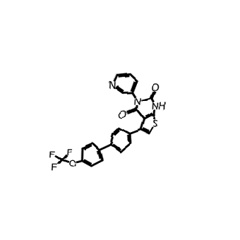 O=c1[nH]c2scc(-c3ccc(-c4ccc(OC(F)(F)F)cc4)cc3)c2c(=O)n1-c1cccnc1